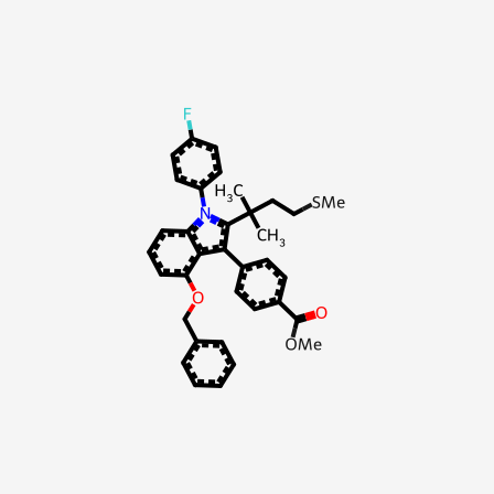 COC(=O)c1ccc(-c2c(C(C)(C)CCSC)n(-c3ccc(F)cc3)c3cccc(OCc4ccccc4)c23)cc1